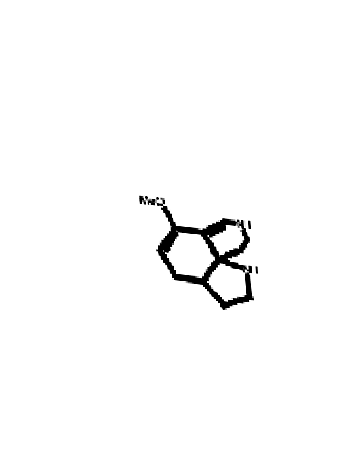 COC1=CCC2C[C]NC23CCNC=C13